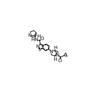 O=C(N[C@H]1CN2CCC1CC2)c1nsc2cc(N3C[C@@H]4C[C@H]3CN4C(=O)C3CC3)ccc12